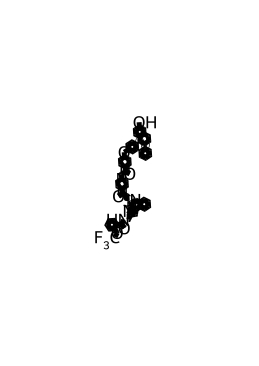 O=C(NCc1cc2c3ccccc3nc(SCC(=O)N3CCN(CC(=O)N4CCC(Oc5ccc([C@@H]6c7ccc(O)cc7CC[C@@H]6c6ccccc6)cc5)CC4)CC3)n2n1)c1ccccc1OC(F)(F)F